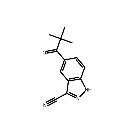 CC(C)(C)C(=O)c1ccc2[nH]nc(C#N)c2c1